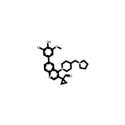 COc1cc(-c2ccc3ncc(C4(C=O)CC4)c(N4CCC(CN5CCCC5)CC4)c3c2)cc(Cl)c1O